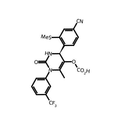 CSc1cc(C#N)ccc1[C@@H]1NC(=O)N(c2cccc(C(F)(F)F)c2)C(C)=C1OC(=O)O